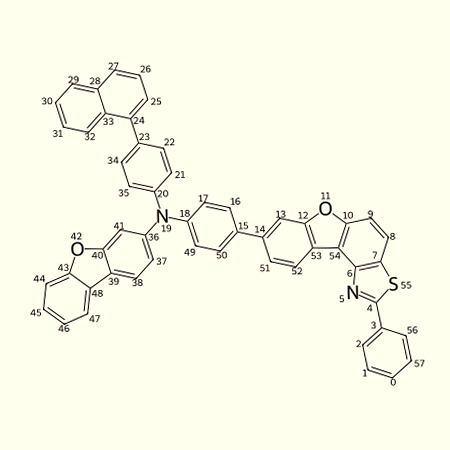 c1ccc(-c2nc3c(ccc4oc5cc(-c6ccc(N(c7ccc(-c8cccc9ccccc89)cc7)c7ccc8c(c7)oc7ccccc78)cc6)ccc5c43)s2)cc1